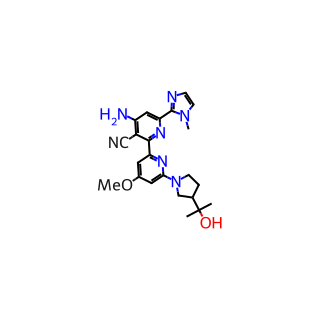 COc1cc(-c2nc(-c3nccn3C)cc(N)c2C#N)nc(N2CCC(C(C)(C)O)C2)c1